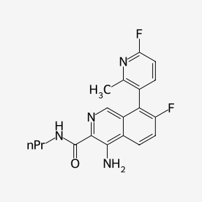 CCCNC(=O)c1ncc2c(-c3ccc(F)nc3C)c(F)ccc2c1N